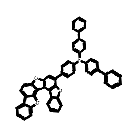 c1ccc(-c2ccc(N(c3ccc(-c4ccccc4)cc3)c3ccc(-c4cc5oc6ccc7c8ccccc8oc7c6c5c5c4oc4ccccc45)cc3)cc2)cc1